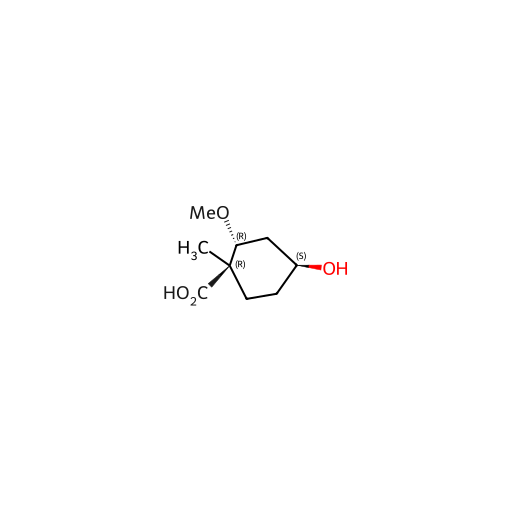 CO[C@@H]1C[C@@H](O)CC[C@@]1(C)C(=O)O